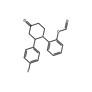 O=COc1ccccc1N1CCC(=O)CC1c1ccc(F)cc1